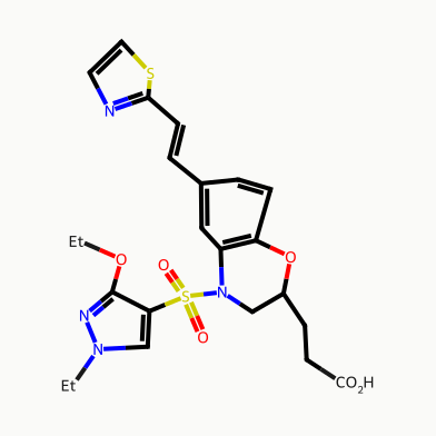 CCOc1nn(CC)cc1S(=O)(=O)N1CC(CCC(=O)O)Oc2ccc(C=Cc3nccs3)cc21